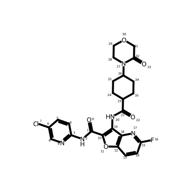 O=C(Nc1ccc(Cl)cn1)c1oc2ccc(F)nc2c1NC(=O)C1CCC(N2CCOCC2=O)CC1